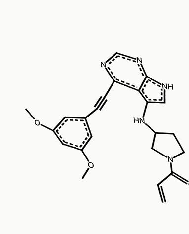 C=CC(=O)N1CCC(Nc2c[nH]c3ncnc(C#Cc4cc(OC)cc(OC)c4)c23)C1